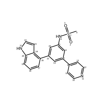 CS(=O)(=O)Nc1cc(-c2ccncc2)cc(-c2cccc3[nH]ccc23)c1